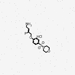 Cl.NC/C=C(\F)COc1ccc(S(=O)(=O)N2CCOCC2)cc1